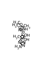 CC(C)OC(=O)[C@H](C)N[PH](=O)OC[C@H]1C(C)[C@@H](n2cnc3c(N)ncnc32)[C@H](O)[C@@H]1O